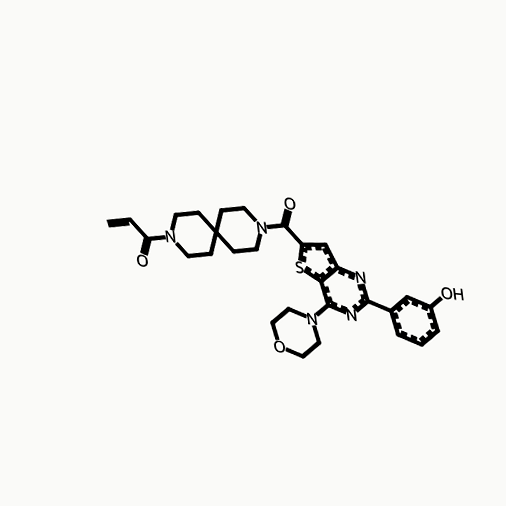 C=CC(=O)N1CCC2(CC1)CCN(C(=O)c1cc3nc(-c4cccc(O)c4)nc(N4CCOCC4)c3s1)CC2